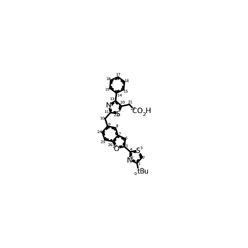 CC(C)(C)c1csc(-c2cc3cc(Cc4nc(-c5ccccc5)c(CC(=O)O)s4)ccc3o2)n1